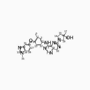 Cc1cc(Nc2ncnc3cnc(N4CCC(C)(O)C4)nc23)ccc1Oc1ccc2c(c1)ncn2C